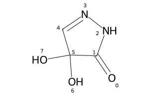 O=C1NN=CC1(O)O